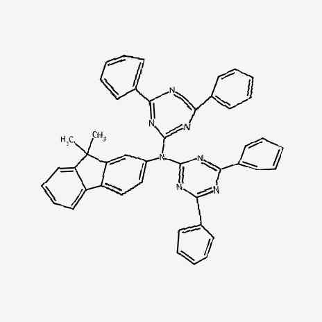 CC1(C)c2ccccc2-c2ccc(N(c3nc(-c4ccccc4)nc(-c4ccccc4)n3)c3nc(-c4ccccc4)nc(-c4ccccc4)n3)cc21